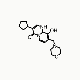 O=C1C(C2CCCC2)=CNC2C(O)=C(CN3CCOCC3)C=CN12